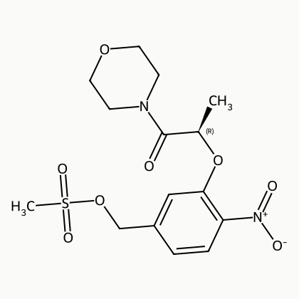 C[C@@H](Oc1cc(COS(C)(=O)=O)ccc1[N+](=O)[O-])C(=O)N1CCOCC1